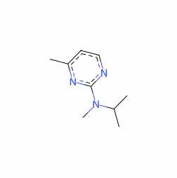 Cc1ccnc(N(C)C(C)C)n1